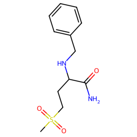 CS(=O)(=O)CCC(NCc1ccccc1)C(N)=O